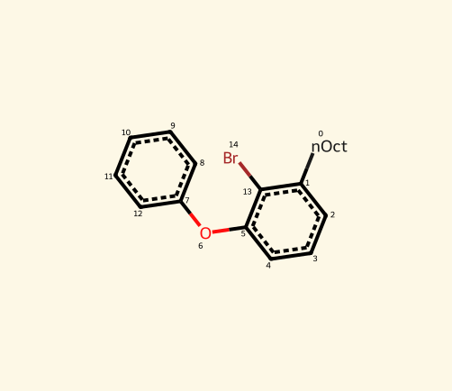 CCCCCCCCc1cccc(Oc2ccccc2)c1Br